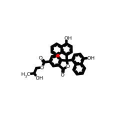 CC(O)COC(=O)c1ccc2c(c1)C(=O)OC2(c1ccc(O)c2ccccc12)c1ccc(O)c2ccccc12